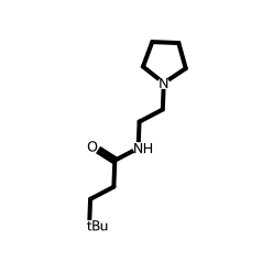 CC(C)(C)CCC(=O)NCCN1CCCC1